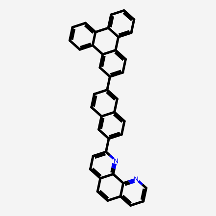 c1cnc2c(c1)ccc1ccc(-c3ccc4cc(-c5ccc6c7ccccc7c7ccccc7c6c5)ccc4c3)nc12